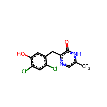 O=c1[nH]c(C(F)(F)F)cnc1Cc1cc(O)c(Cl)cc1Cl